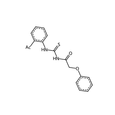 CC(=O)c1ccccc1NC(=S)NC(=O)COc1ccccc1